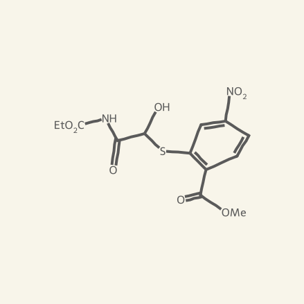 CCOC(=O)NC(=O)C(O)Sc1cc([N+](=O)[O-])ccc1C(=O)OC